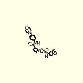 Cc1ccc(C(=O)Nc2ccc(N3CCOCC3)cc2)cc1N1CCN(C(=O)Nc2ccc3c(c2)OCO3)CC1